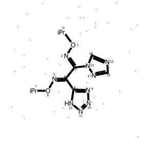 CC(C)O/N=C(/C(=N/OC(C)C)c1nnn[nH]1)n1cncn1